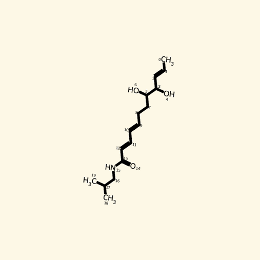 C/C=C/C(O)C(O)CC/C=C/C=C/C(=O)NCC(C)C